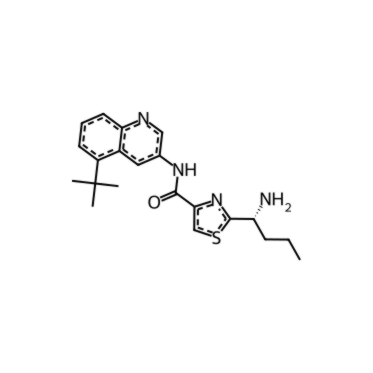 CCC[C@@H](N)c1nc(C(=O)Nc2cnc3cccc(C(C)(C)C)c3c2)cs1